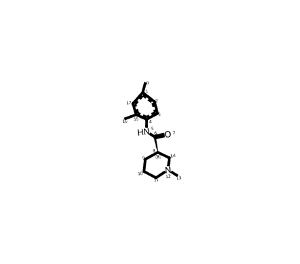 Cc1ccc(NC(=O)[C@@H]2CCCN(C)C2)c(C)c1